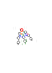 Cc1ccc(-c2ccc3c4ccc(-c5ccc(C)cc5)cc4n(-c4cc(-c5c(F)c(F)c(F)c(F)c5F)cc(-n5c6cc(-c7ccc(C)cc7)ccc6c6ccc(-c7ccc(C)cc7)cc65)c4C(F)(F)F)c3c2)cc1